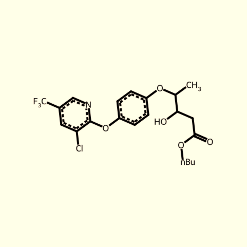 CCCCOC(=O)CC(O)C(C)Oc1ccc(Oc2ncc(C(F)(F)F)cc2Cl)cc1